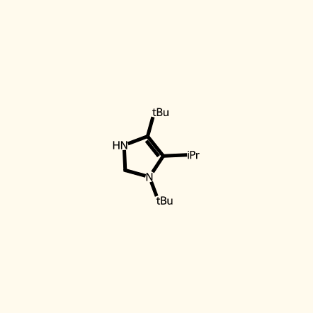 CC(C)C1=C(C(C)(C)C)NCN1C(C)(C)C